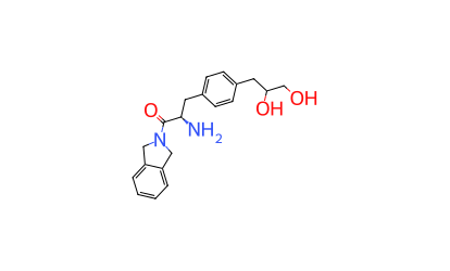 N[C@H](Cc1ccc(CC(O)CO)cc1)C(=O)N1Cc2ccccc2C1